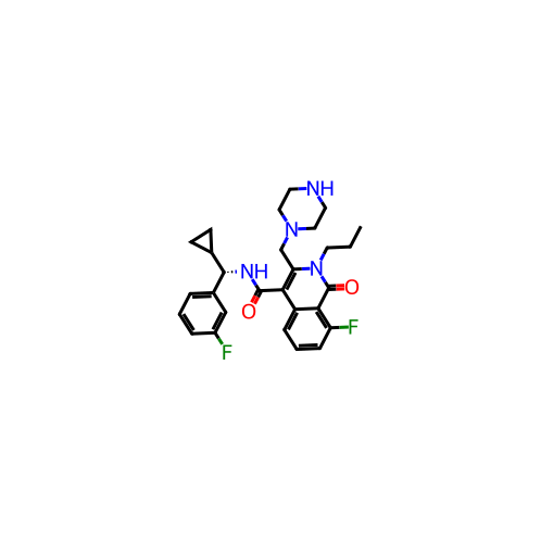 CCCn1c(CN2CCNCC2)c(C(=O)N[C@H](c2cccc(F)c2)C2CC2)c2cccc(F)c2c1=O